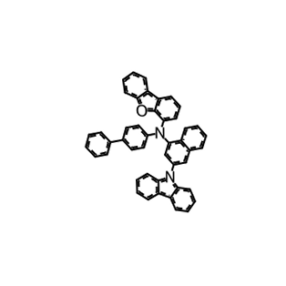 c1ccc(-c2ccc(N(c3cc(-n4c5ccccc5c5ccccc54)cc4ccccc34)c3cccc4c3oc3ccccc34)cc2)cc1